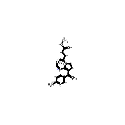 C=C(C1=C(/N=C\C)N(C(=O)CCC(=O)OC)CC1)c1ccc(N)nc1